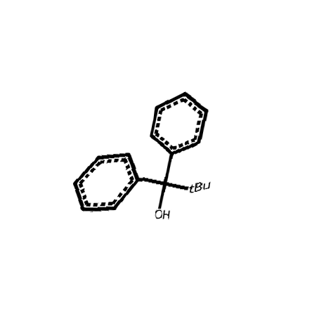 CC(C)(C)C(O)(c1ccccc1)c1ccccc1